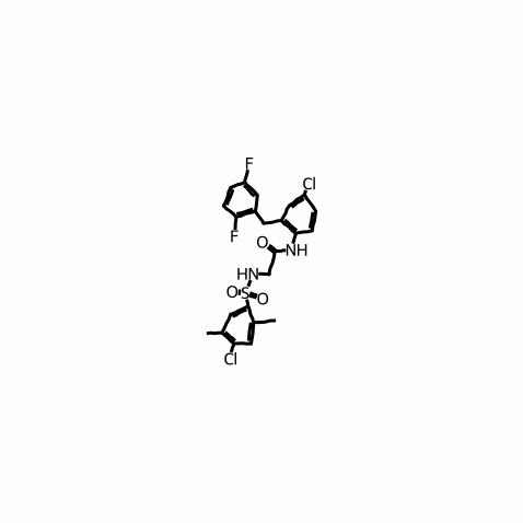 Cc1cc(S(=O)(=O)NCC(=O)Nc2ccc(Cl)cc2Cc2cc(F)ccc2F)c(C)cc1Cl